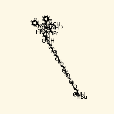 CCCCNC(=O)CCOCCOCCOCCOCCOCCOCCOCCOCCNC(=O)CCC(NC(=O)OCc1ccccc1)C(=O)NC(C(=O)NC(C)C(=O)OC(=O)c1ccccc1)C(C)C